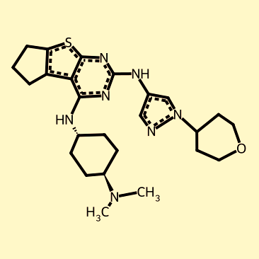 CN(C)[C@H]1CC[C@H](Nc2nc(Nc3cnn(C4CCOCC4)c3)nc3sc4c(c23)CCC4)CC1